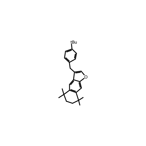 CC(C)(C)c1ccc(Cc2coc3cc4c(cc23)C(C)(C)CCC4(C)C)cc1